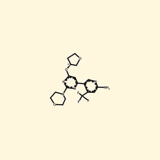 Nc1cc(C(F)(F)F)c(-c2cc(O[C@H]3CCOC3)nc(N3CCOCC3)n2)cn1